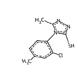 Cc1ccc(-n2c(C)nnc2S)c(Cl)c1